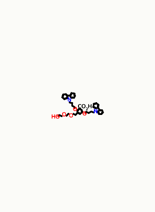 O=C(O)c1cc(OCCCCn2c3ccccc3c3ccccc32)cc(CCOCCOCCO)c1OCCCCn1c2ccccc2c2ccccc21